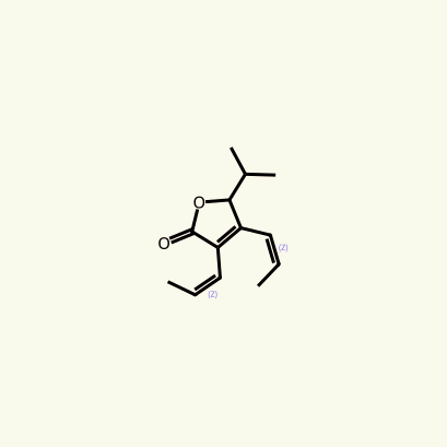 C/C=C\C1=C(/C=C\C)C(C(C)C)OC1=O